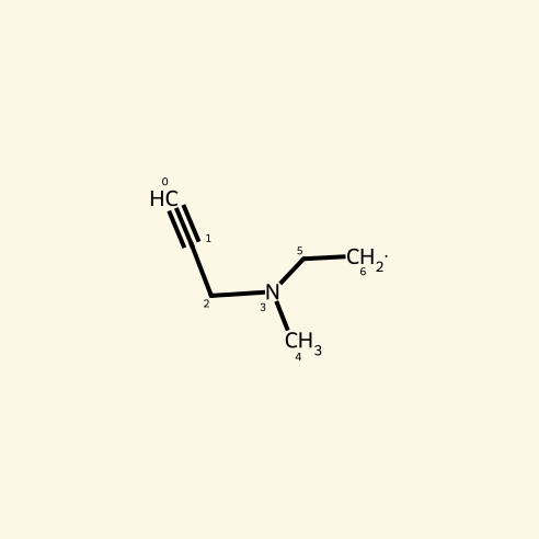 C#CCN(C)C[CH2]